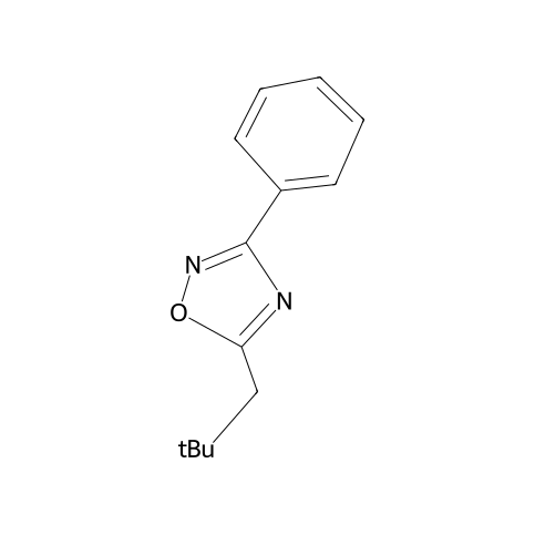 [CH2]C(C)(C)Cc1nc(-c2ccccc2)no1